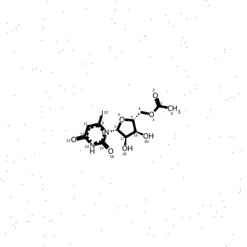 CC(=O)OC[C@H]1O[C@@H](n2c(I)cc(=O)[nH]c2=O)[C@H](O)[C@@H]1O